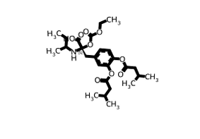 CCOC(=O)O[C@](Cc1ccc(OC(=O)CC(C)C)c(OC(=O)CC(C)C)c1)(NC(C)CC)C(=O)O